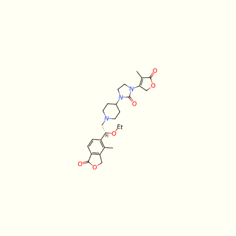 CCO[C@@H](CN1CCC(N2CCN(C3=C(C)C(=O)OC3)C2=O)CC1)c1ccc2c(c1C)COC2=O